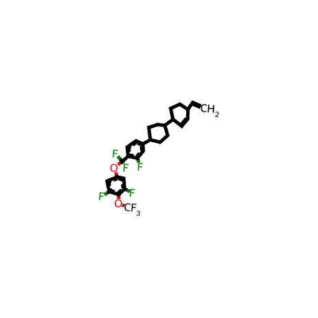 C=CC1C=CC(C2CCC(c3ccc(C(F)(F)Oc4cc(F)c(OC(F)(F)F)c(F)c4)c(F)c3)CC2)CC1